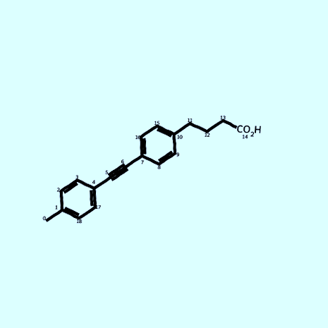 Cc1ccc(C#Cc2ccc(CCCC(=O)O)cc2)cc1